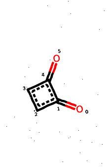 O=c1[c][c]c1=O